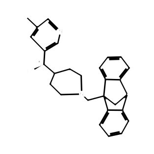 Cc1cncc([C@H](O)C2CCN(CC34CC(c5ccccc53)c3ccccc34)CC2)c1